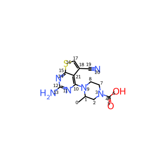 CC1CN(C(=O)O)CCN1c1nc(N)nc2scc(C#N)c12